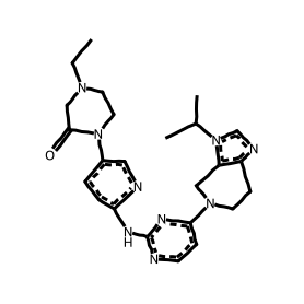 CCN1CCN(c2ccc(Nc3nccc(N4CCc5ncn(C(C)C)c5C4)n3)nc2)C(=O)C1